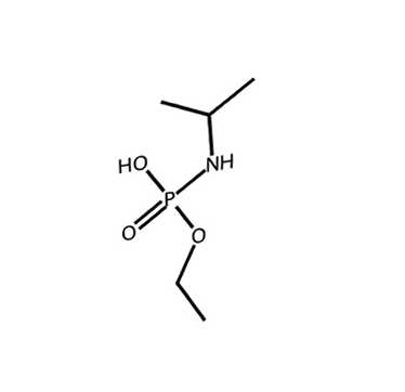 CCOP(=O)(O)NC(C)C